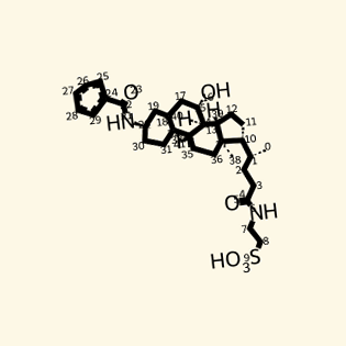 C[C@H](CCC(=O)NCCS(=O)(=O)O)[C@H]1CC[C@H]2[C@@H]3[C@@H](O)CC4C[C@H](NC(=O)c5ccccc5)CC[C@]4(C)[C@H]3CC[C@]12C